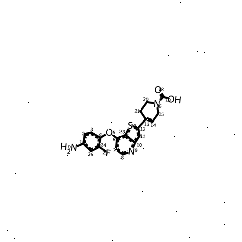 Nc1ccc(Oc2ccnc3cc(C4=CCN(C(=O)O)CC4)sc23)c(F)c1